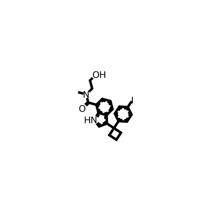 CN(CCO)C(=O)c1cccc2c(C3(c4ccc(I)cc4)CCC3)c[nH]c12